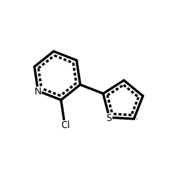 Clc1ncccc1-c1cc[c]s1